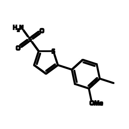 COc1cc(-c2ccc(S(N)(=O)=O)s2)ccc1C